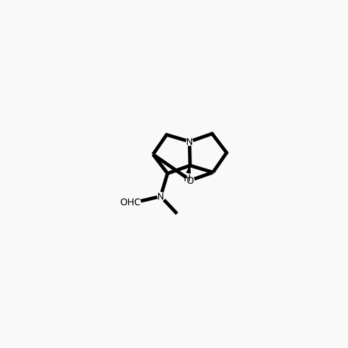 CN(C=O)C1C2CN3CCC(O2)[C@H]13